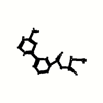 CNc1cc(-c2cccc(C(=O)CC(=O)OC(C)(C)C)c2)ncn1